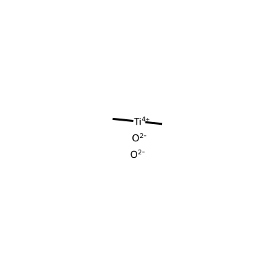 [CH3][Ti+4][CH3].[O-2].[O-2]